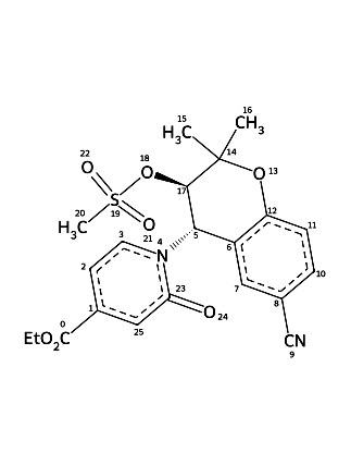 CCOC(=O)c1ccn([C@H]2c3cc(C#N)ccc3OC(C)(C)[C@@H]2OS(C)(=O)=O)c(=O)c1